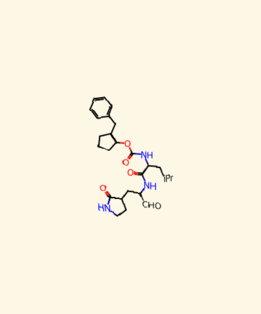 CC(C)CC(NC(=O)OC1CCCC1Cc1ccccc1)C(=O)NC(C=O)CC1CCNC1=O